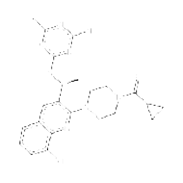 Cc1nc(N)nc(N[C@@H](C)c2cc3cccc(Cl)c3nc2N2CCN(C(=O)C3CC3)CC2)n1